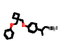 CC(CC(=O)O)c1ccc(OCC2(COc3ccccc3)CCC2)cc1